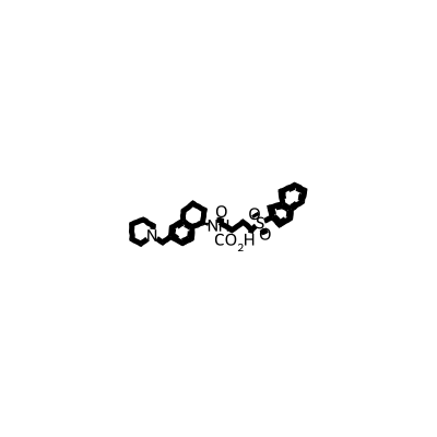 O=C(CCC(C(=O)O)S(=O)(=O)c1ccc2ccccc2c1)N[C@@H]1CCCc2cc(CN3CCCCC3)ccc21